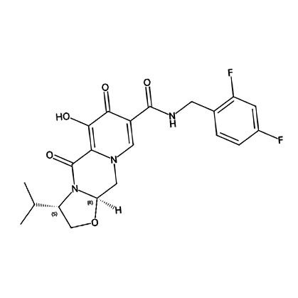 CC(C)[C@H]1CO[C@@H]2Cn3cc(C(=O)NCc4ccc(F)cc4F)c(=O)c(O)c3C(=O)N12